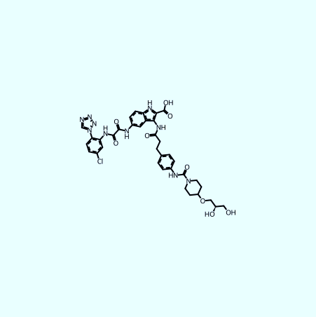 O=C(CCc1ccc(NC(=O)N2CCC(OC[C@H](O)CO)CC2)cc1)Nc1c(C(=O)O)[nH]c2ccc(NC(=O)C(=O)Nc3cc(Cl)ccc3-n3cnnn3)cc12